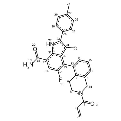 C=CC(=O)N1CCc2c(cccc2-c2c(F)cc(C(N)=O)c3[nH]c(-c4ccc(C)cc4)c(C)c23)C1